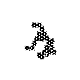 Cc1cc(-c2ccc(-c3ccccc3-c3cc(Cl)cc(-c4cc(-c5ccc(-c6ccc(-c7ccccc7-c7cc(Cl)cc(-c8ccccc8-c8ccc(-c9cccc%10ccccc9%10)nc8)c7)cn6)c6ccccc56)ccc4-c4ccc(-c5cc(C)c(-c6cccc(-c7ccccc7)c6)cn5)cc4)c3)cc2)ncc1-c1cccc(-c2ccccc2)c1